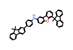 CC1(C)c2ccccc2-c2ccc(-c3ccc(Nc4ccc5oc6c(C7(C)c8ccccc8-c8ccccc87)cccc6c5c4)cc3)cc21